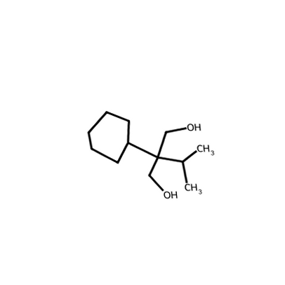 CC(C)C(CO)(CO)C1CCCCC1